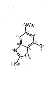 CNc1cc(Br)c2oc(S)nc2c1